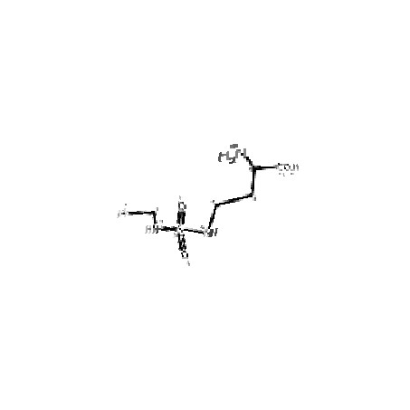 CC(C)CNS(=O)(=O)NCCC(N)C(=O)O